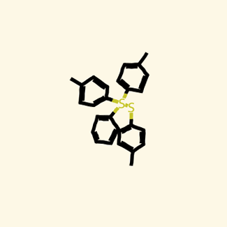 Cc1ccc(SS(c2ccccc2)(c2ccc(C)cc2)c2ccc(C)cc2)cc1